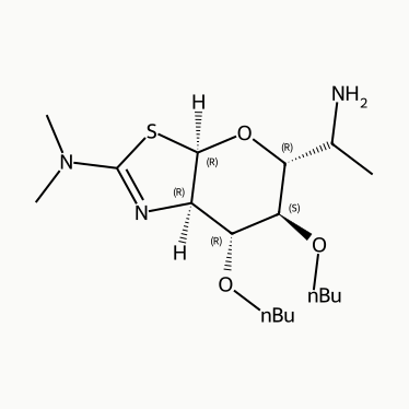 CCCCO[C@@H]1[C@H]2N=C(N(C)C)S[C@H]2O[C@H](C(C)N)[C@H]1OCCCC